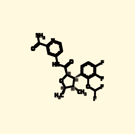 C[C@H]1[C@@H](c2ccc(F)c(F)c2OC(F)F)[C@H](C(=O)Nc2ccnc(C(N)=O)c2)O[C@@H]1C